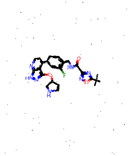 CC(C)(C)c1nc(C(=O)NCc2ccc(-c3ccnc4[nH]nc(OC5CCNC5)c34)cc2F)no1